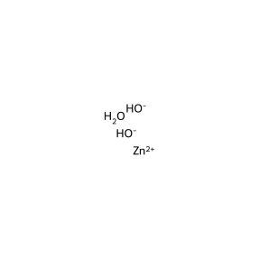 O.[OH-].[OH-].[Zn+2]